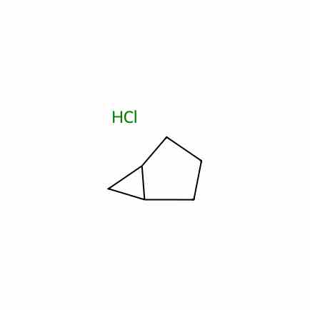 C1CC2CC2C1.Cl